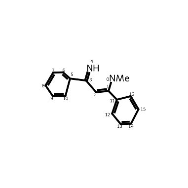 CN/C(=C\C(=N)c1ccccc1)c1ccccc1